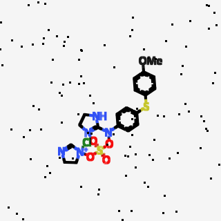 COc1ccc(Sc2ccc(N(OS(=O)(=O)O[N+]3(Cl)C=NCC3)C3=NCCN3)cc2)cc1